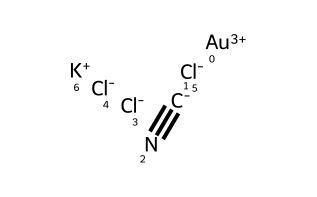 [Au+3].[C-]#N.[Cl-].[Cl-].[Cl-].[K+]